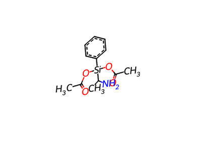 CC(=O)O[Si](OC(C)=O)(c1ccccc1)C(C)N